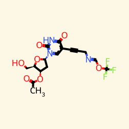 CC(=O)O[C@@H]1C[C@H](n2cc(C#CC/N=C/OC(F)(F)F)c(=O)[nH]c2=O)O[C@@H]1CO